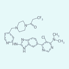 CN(C)c1ncnc(-c2ccc3nc(Nc4cc(CN5CCN(C(=O)CC(F)(F)F)CC5)ccn4)[nH]c3c2)c1Cl